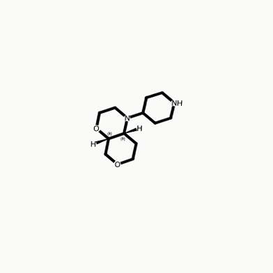 C1CC(N2CCO[C@H]3COCC[C@H]32)CCN1